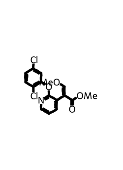 CO/C=C(/C(=O)OC)c1cccnc1Oc1cc(Cl)ccc1Cl